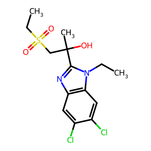 CCn1c(C(C)(O)CS(=O)(=O)CC)nc2cc(Cl)c(Cl)cc21